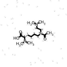 CC(=O)N(CCCC[C@@H](C(=O)O)N(C)C)CCN(C)C